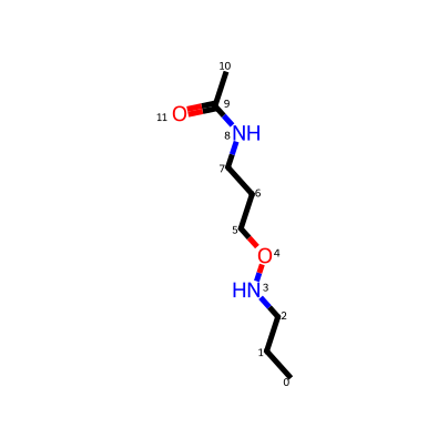 CCCNOCCCNC(C)=O